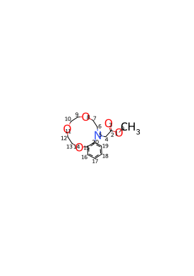 COC(=O)CN1CCOCCOCCOc2ccccc21